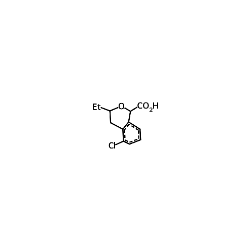 CCC1Cc2c(Cl)cccc2C(C(=O)O)O1